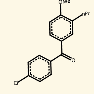 CCCc1cc(C(=O)c2ccc(Cl)cc2)ccc1OC